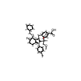 COCC(C)(COC)c1c(Cc2ccc(C(=O)O)cc2)c2c(OCc3ccccc3)c(F)ccc2n1-c1ccc(F)cc1